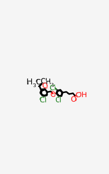 CC1(C)Cc2cc(Cl)cc(COc3c(Cl)cc(CCCC(=O)O)cc3Cl)c2O1